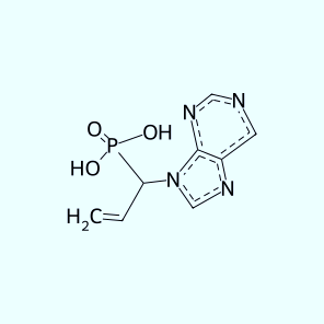 C=CC(n1cnc2cncnc21)P(=O)(O)O